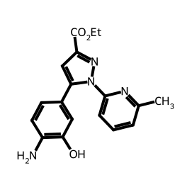 CCOC(=O)c1cc(-c2ccc(N)c(O)c2)n(-c2cccc(C)n2)n1